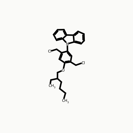 CCCCC(CC)COc1cc(CCl)c(-n2c3ccccc3c3ccccc32)cc1CCl